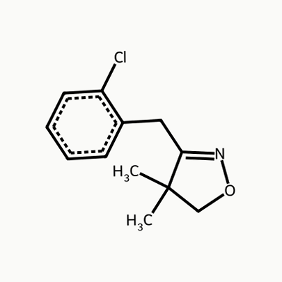 CC1(C)CON=C1Cc1ccccc1Cl